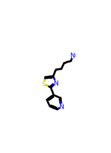 [N]CCCCc1csc(-c2cccnc2)n1